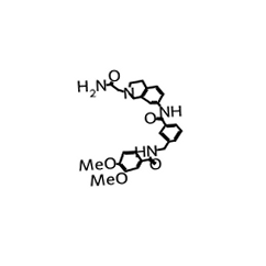 COc1ccc(C(=O)NCc2cccc(C(=O)Nc3ccc4c(c3)CN(CC(N)=O)CC4)c2)cc1OC